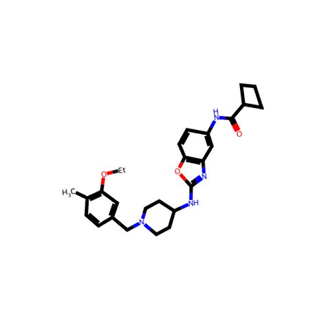 CCOc1cc(CN2CCC(Nc3nc4cc(NC(=O)C5CCC5)ccc4o3)CC2)ccc1C